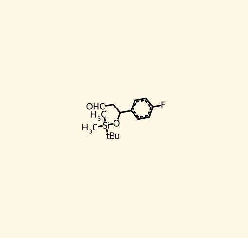 CC(C)(C)[Si](C)(C)OC(CC=O)c1ccc(F)cc1